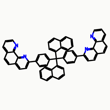 c1ccc2c(C(c3ccc(-c4ccc5ccc6cccnc6c5n4)cc3)(c3ccc(-c4ccc5ccc6cccnc6c5n4)cc3)c3cccc4ccccc34)cccc2c1